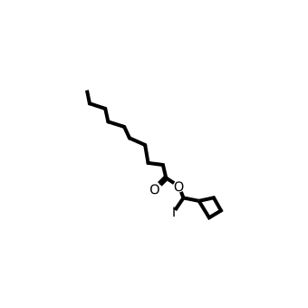 CCCCCCCCCC(=O)OC(I)C1CCC1